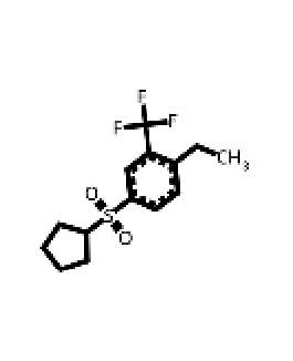 CCc1ccc(S(=O)(=O)C2CCCC2)cc1C(F)(F)F